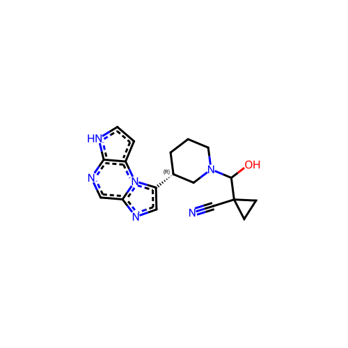 N#CC1(C(O)N2CCC[C@@H](c3cnc4cnc5[nH]ccc5n34)C2)CC1